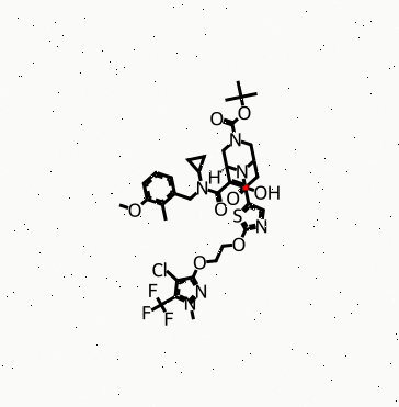 COc1cccc(CN(C(=O)C2=C(c3cnc(OCCOc4nn(C)c(C(F)(F)F)c4Cl)s3)CC3CN(C(=O)OC(C)(C)C)C[C@H]2N3C(=O)O)C2CC2)c1C